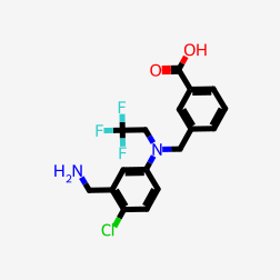 NCc1cc(N(Cc2cccc(C(=O)O)c2)CC(F)(F)F)ccc1Cl